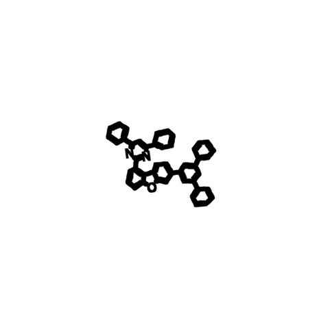 c1ccc(-c2cc(-c3ccccc3)cc(-c3ccc4c(c3)oc3cccc(-c5nc(-c6ccccc6)cc(-c6ccccc6)n5)c34)c2)cc1